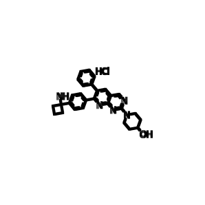 Cl.NC1(c2ccc(-c3nc4nc(N5CCC(O)CC5)ncc4cc3-c3ccccc3)cc2)CCC1